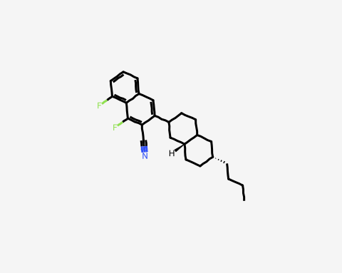 CCCC[C@@H]1CC[C@@H]2CC(c3cc4cccc(F)c4c(F)c3C#N)CCC2C1